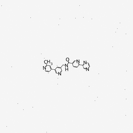 Cc1cc(-c2cncc(CNC(=O)c3ccc(-c4cnccn4)nc3)c2)ccn1